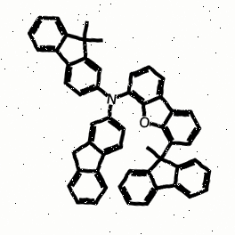 CC1(C)c2ccccc2-c2ccc(N(c3ccc4c(c3)Cc3ccccc3-4)c3cccc4c3oc3c(C5(C)c6ccccc6-c6ccccc65)cccc34)cc21